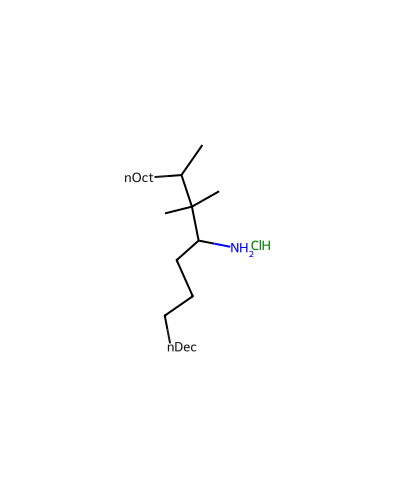 CCCCCCCCCCCCCC(N)C(C)(C)C(C)CCCCCCCC.Cl